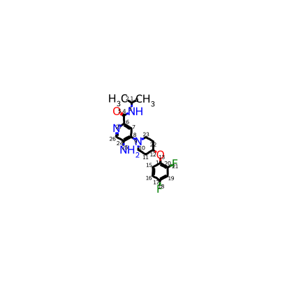 CC(C)NC(=O)c1cc(N2CCC(Oc3ccc(F)cc3F)CC2)c(N)cn1